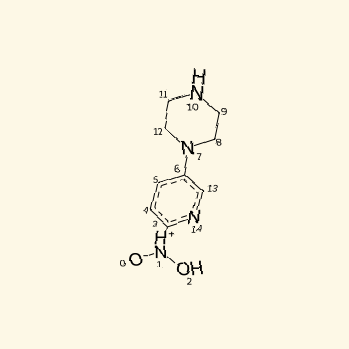 [O-][NH+](O)c1ccc(N2CCNCC2)cn1